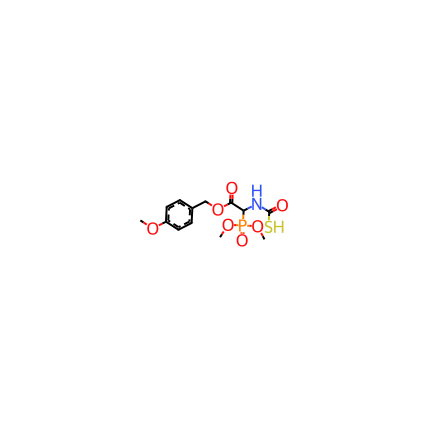 COc1ccc(COC(=O)C(NC(=O)S)P(=O)(OC)OC)cc1